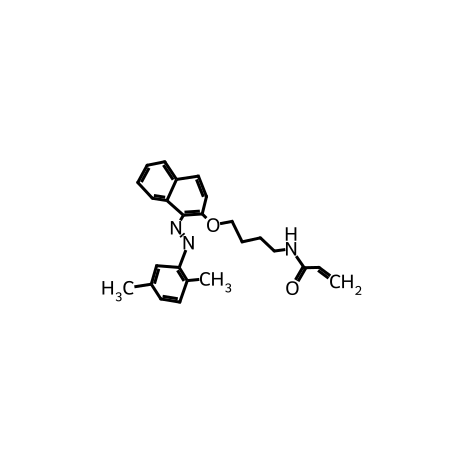 C=CC(=O)NCCCCOc1ccc2ccccc2c1N=Nc1cc(C)ccc1C